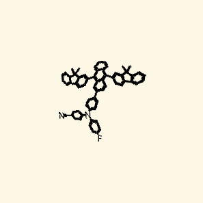 CC1(C)c2ccccc2-c2ccc(-c3c4ccccc4c(-c4ccc5c(c4)C(C)(C)c4ccccc4-5)c4cc(-c5ccc(N(c6ccc(F)cc6)c6ccc(C#N)cc6)cc5)ccc34)cc21